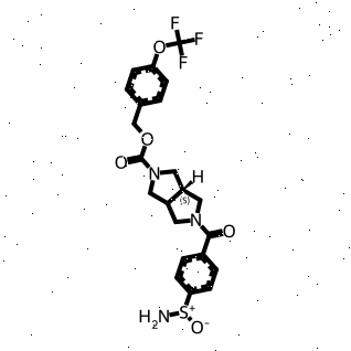 N[S+]([O-])c1ccc(C(=O)N2CC3CN(C(=O)OCc4ccc(OC(F)(F)F)cc4)C[C@@H]3C2)cc1